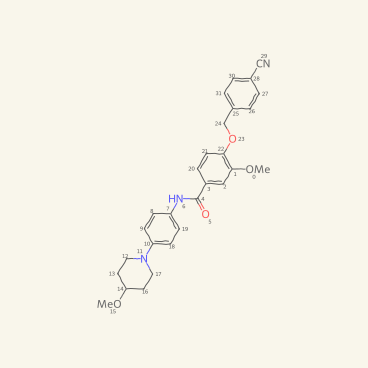 COc1cc(C(=O)Nc2ccc(N3CCC(OC)CC3)cc2)ccc1OCc1ccc(C#N)cc1